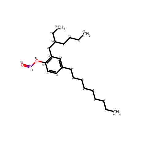 CCCCCCCCCc1ccc(OP=O)c(CC(CC)CCCC)c1